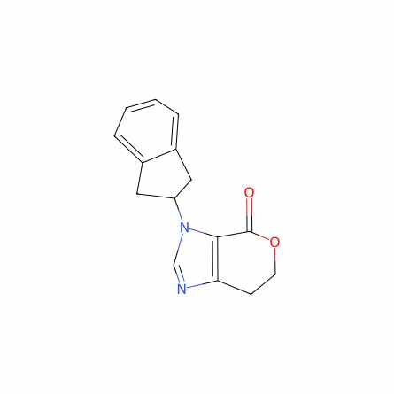 O=C1OCCc2ncn(C3Cc4ccccc4C3)c21